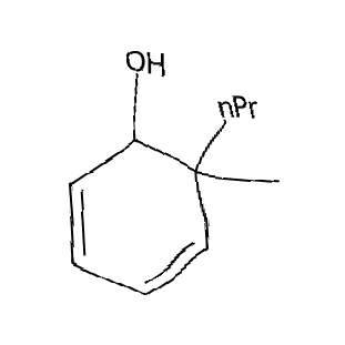 CCCC1(C)C=CC=CC1O